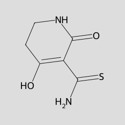 NC(=S)C1=C(O)CCNC1=O